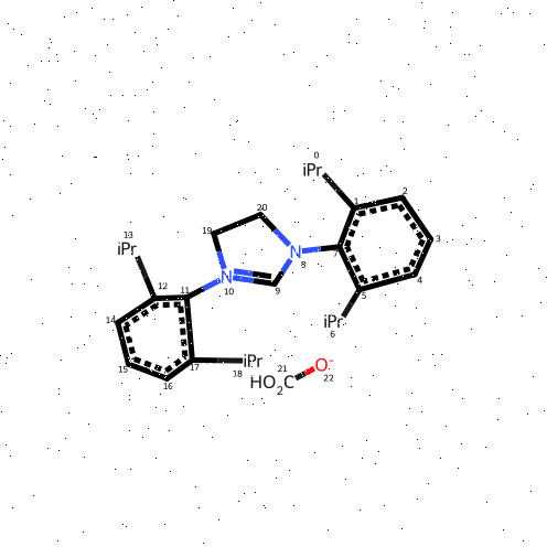 CC(C)c1cccc(C(C)C)c1N1C=[N+](c2c(C(C)C)cccc2C(C)C)CC1.O=C([O-])O